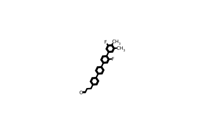 Cc1cc(-c2ccc(-c3ccc(-c4ccc(CCC=O)cc4)cc3)cc2F)cc(F)c1C